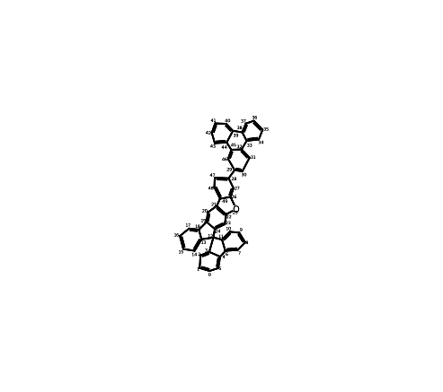 c1ccc2c(c1)-c1ccccc1C21c2ccccc2-c2cc3c(cc21)oc1cc(-c2ccc4c5ccccc5c5ccccc5c4c2)ccc13